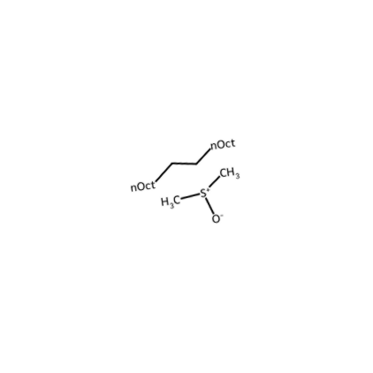 CCCCCCCCCCCCCCCCCC.C[S+](C)[O-]